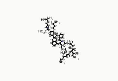 C[C@H](NC(=O)[C@@H](NC(=O)[C@@H](N)CCCCN)[C@@H](O)CN)C(=O)NCC(=O)/N=C(\CCCN)C(=O)N1CCC[C@H]1C(=O)N[C@@H](Cc1cccc(Cl)c1)C(=O)N[C@@H](CCCCN)C(=O)N/C(=C\CCNC(=N)N)C(=O)O